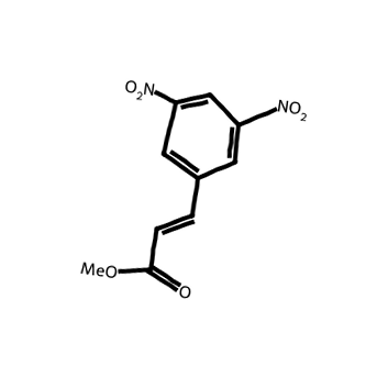 COC(=O)/C=C/c1cc([N+](=O)[O-])cc([N+](=O)[O-])c1